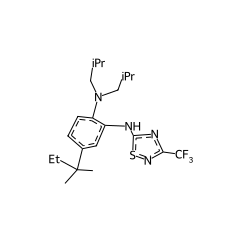 CCC(C)(C)c1ccc(N(CC(C)C)CC(C)C)c(Nc2nc(C(F)(F)F)ns2)c1